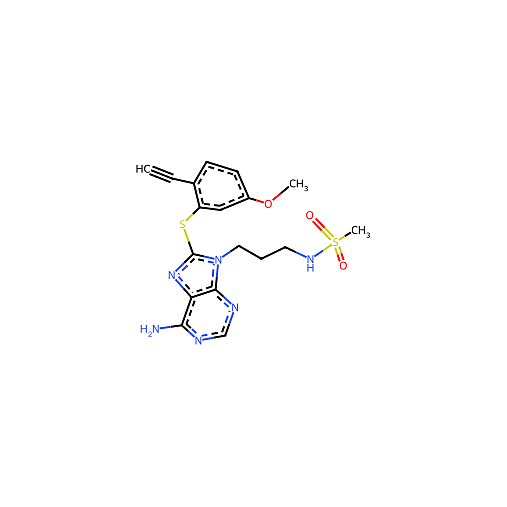 C#Cc1ccc(OC)cc1Sc1nc2c(N)ncnc2n1CCCNS(C)(=O)=O